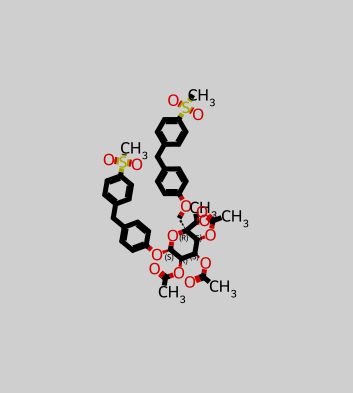 CC(=O)O[C@@H]1[C@@H](OC(C)=O)[C@@H](Oc2ccc(Cc3ccc(S(C)(=O)=O)cc3)cc2)O[C@@](COc2ccc(Cc3ccc(S(C)(=O)=O)cc3)cc2)(C(C)=O)[C@H]1OC(C)=O